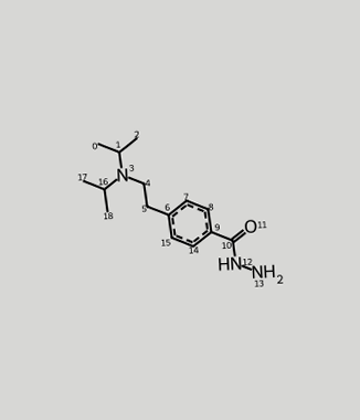 CC(C)N(CCc1ccc(C(=O)NN)cc1)C(C)C